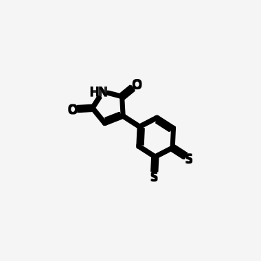 O=C1C=C(C2=CC(=S)C(=S)C=C2)C(=O)N1